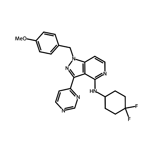 COc1ccc(Cn2nc(-c3ccncn3)c3c(NC4CCC(F)(F)CC4)nccc32)cc1